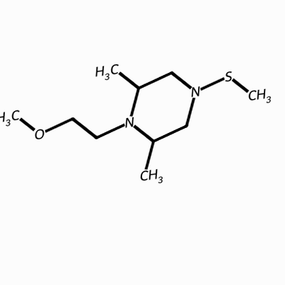 COCCN1C(C)CN(SC)CC1C